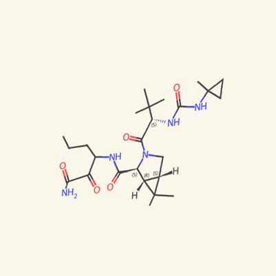 CCCC(NC(=O)[C@@H]1[C@@H]2[C@H](CN1C(=O)[C@@H](NC(=O)NC1(C)CC1)C(C)(C)C)C2(C)C)C(=O)C(N)=O